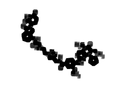 CC[C@@H]1C(=O)N(C)c2cnc(Nc3ccc(C(=O)NCc4cn(CCNCC(=O)Nc5cccc6c5CN(C5CCC(=O)NC5=O)C6=O)nn4)cc3OC)nc2N1C1CCCC1